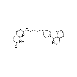 O=C1CCc2ccc(OCCCCN3CCN(c4nccc5cccnc45)CC3)nc2N1